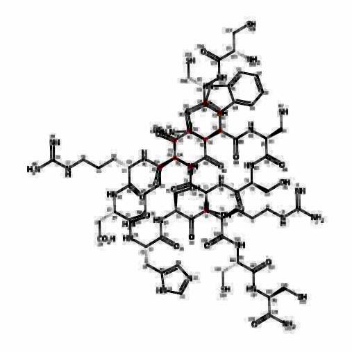 N=C(N)NCCC[C@H](NC(=O)[C@H](CO)NC(=O)[C@H](Cc1cnc[nH]1)NC(=O)[C@H](CC(=O)O)NC(=O)[C@H](CCCNC(=N)N)NC(=O)[C@H](CS)NC(=O)[C@H](Cc1c[nH]c2ccccc12)NC(=O)[C@H](CCCCN)NC(=O)[C@H](CO)NC(=O)[C@H](CO)NC(=O)[C@H](CS)NC(=O)[C@H](CC(N)=O)NC(=O)[C@H](CS)NC(=O)[C@@H](N)CS)C(=O)N[C@@H](CS)C(=O)N[C@@H](CS)C(N)=O